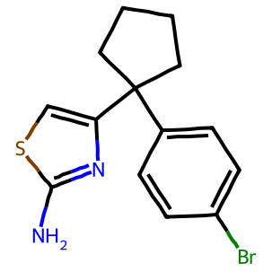 Nc1nc(C2(c3ccc(Br)cc3)CCCC2)cs1